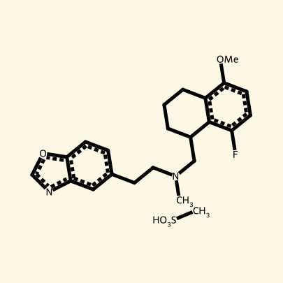 COc1ccc(F)c2c1CCCC2CN(C)CCc1ccc2ocnc2c1.CS(=O)(=O)O